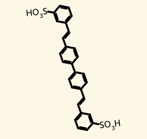 O=S(=O)(O)c1cccc(C=Cc2ccc(-c3ccc(C=Cc4cccc(S(=O)(=O)O)c4)cc3)cc2)c1